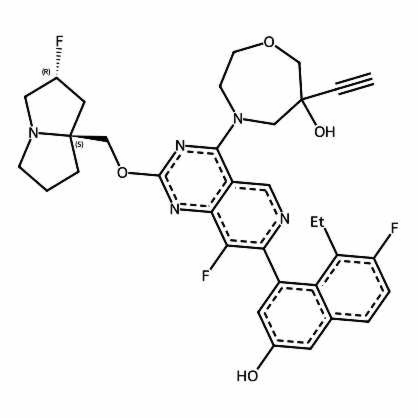 C#CC1(O)COCCN(c2nc(OC[C@@]34CCCN3C[C@H](F)C4)nc3c(F)c(-c4cc(O)cc5ccc(F)c(CC)c45)ncc23)C1